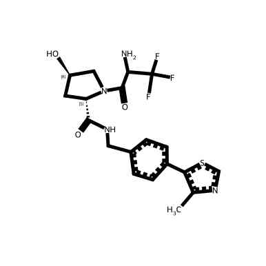 Cc1ncsc1-c1ccc(CNC(=O)[C@@H]2C[C@@H](O)CN2C(=O)C(N)C(F)(F)F)cc1